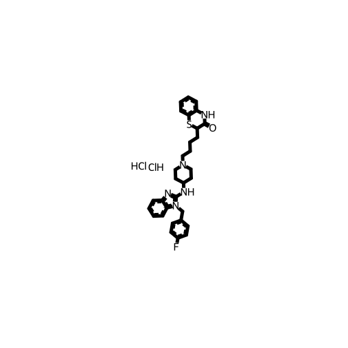 Cl.Cl.O=C1Nc2ccccc2SC1CCCCN1CCC(Nc2nc3ccccc3n2Cc2ccc(F)cc2)CC1